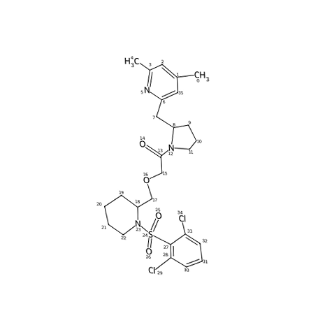 Cc1cc(C)nc(CC2CCCN2C(=O)COCC2CCCCN2S(=O)(=O)c2c(Cl)cccc2Cl)c1